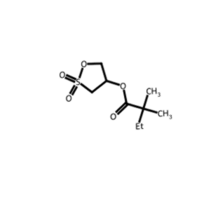 CCC(C)(C)C(=O)OC1COS(=O)(=O)C1